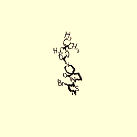 CC(C)(C)OC(=O)N1CCC2(CC1)CCN(c1sncc1Br)C2=O